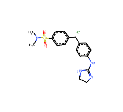 CN(C)S(=O)(=O)c1ccc(Cc2ccc(NC3=NCCN3)cc2)cc1.Cl